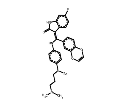 CC(=O)N(CCCN(C)C)c1ccc(N/C(=C2\C(=O)Nc3cc(F)ccc32)c2ccc3c(c2)OC=CO3)cc1